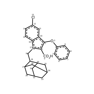 O=C(O)c1c(Oc2ccccc2)c2cc(Cl)ccc2n1CC1C2CC3CC(C2)CC1C3